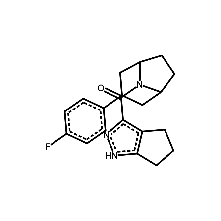 O=C(c1n[nH]c2c1CCC2)N1C2CCC1CC(c1ccc(F)cc1)C2